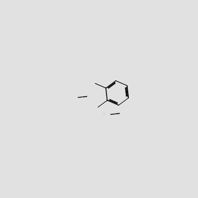 CC(C)=O.CC(C)=O.Cc1ccccc1C